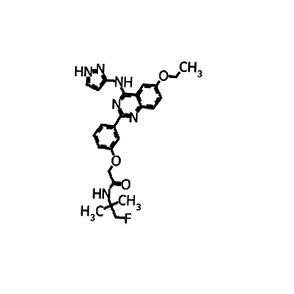 CCOc1ccc2nc(-c3cccc(OCC(=O)NC(C)(C)CF)c3)nc(Nc3cc[nH]n3)c2c1